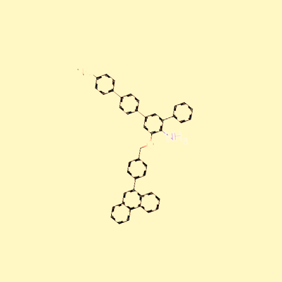 N#Cc1ccc(-c2ccc(-c3cc(OCc4ccc(-c5cc6ccccc6c6ccccc56)cc4)c(N)c(-c4ccccc4)c3)cc2)cc1